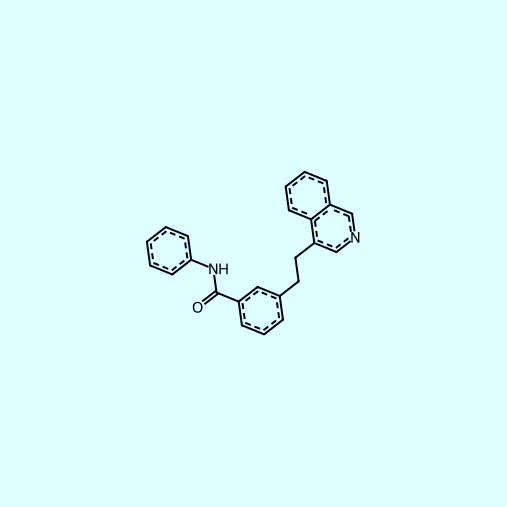 O=C(Nc1ccccc1)c1cccc(CCc2cncc3ccccc23)c1